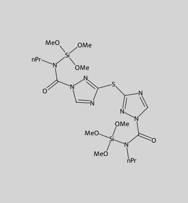 CCCN(C(=O)n1cnc(Sc2ncn(C(=O)N(CCC)[Si](OC)(OC)OC)n2)n1)[Si](OC)(OC)OC